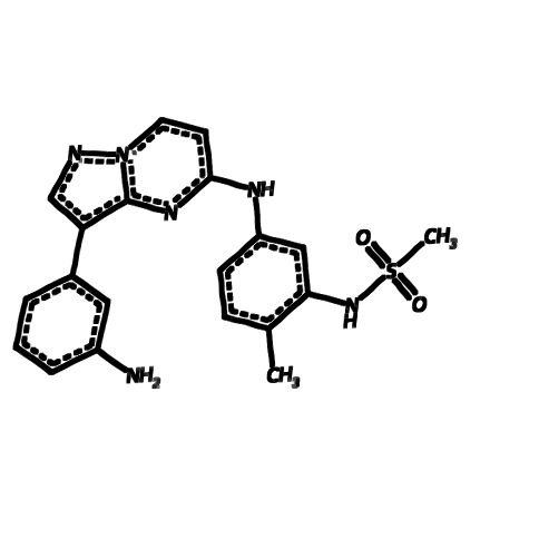 Cc1ccc(Nc2ccn3ncc(-c4cccc(N)c4)c3n2)cc1NS(C)(=O)=O